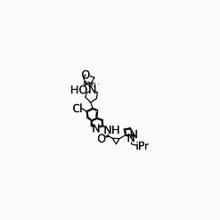 CC(C)Cn1nccc1C1CC1C(=O)Nc1cc2cc(C3CCN([C@]4(C)COC[C@@H]4O)CC3)c(Cl)cc2cn1